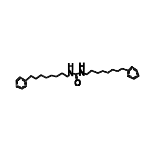 O=C(NCCCCCCCCc1ccccc1)NCCCCCCCCc1ccccc1